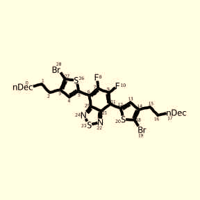 CCCCCCCCCCCCc1cc(-c2c(F)c(F)c(-c3cc(CCCCCCCCCCCC)c(Br)s3)c3nsnc23)sc1Br